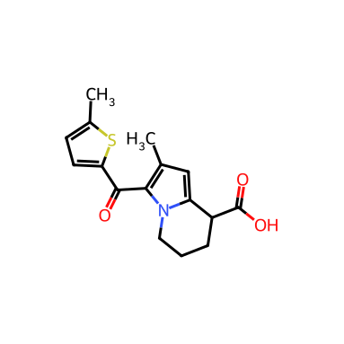 Cc1ccc(C(=O)c2c(C)cc3n2CCCC3C(=O)O)s1